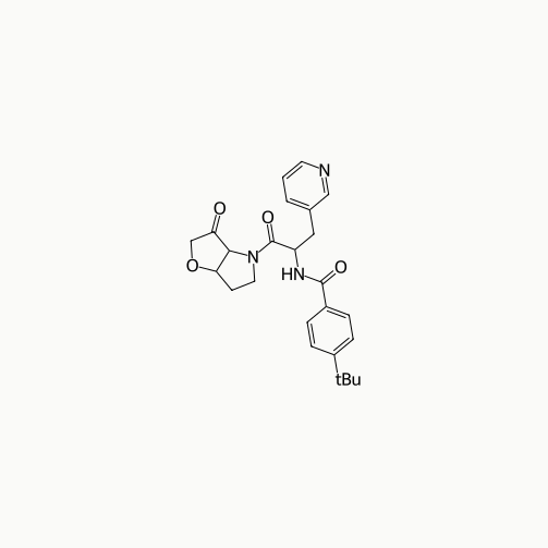 CC(C)(C)c1ccc(C(=O)NC(Cc2cccnc2)C(=O)N2CCC3OCC(=O)C32)cc1